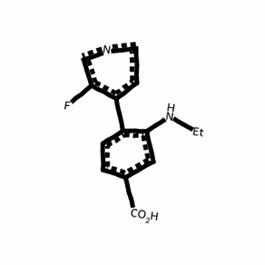 CCNc1cc(C(=O)O)ccc1-c1ccncc1F